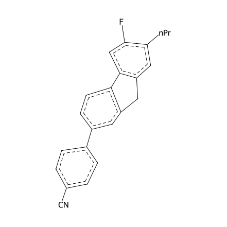 CCCc1cc2c(cc1F)-c1ccc(-c3ccc(C#N)cc3)cc1C2